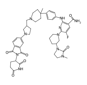 CN1CCN(C2CCCN(c3nc(Nc4ccc(C5(C)CCN(CC6CCN(c7ccc8c(c7)C(=O)N(C7CCC(=O)NC7=O)C8=O)C6)CC5)cc4)c(C(N)=O)cc3F)C2)C1=O